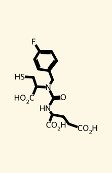 O=C(O)CCC(NC(=O)N(Cc1ccc(F)cc1)C(CS)C(=O)O)C(=O)O